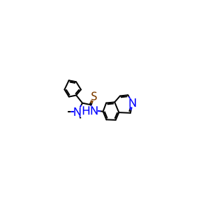 CN(C)C(C(=S)Nc1ccc2cnccc2c1)c1ccccc1